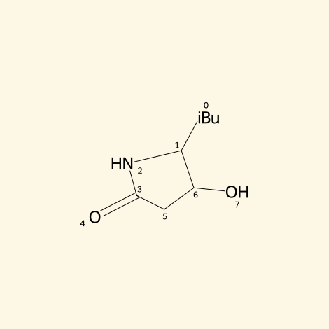 CCC(C)C1NC(=O)CC1O